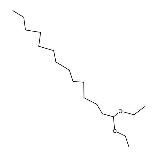 CCCCCCCCCCCCCC(OCC)OCC